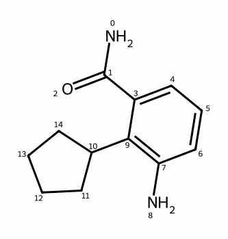 NC(=O)c1cccc(N)c1C1CCCC1